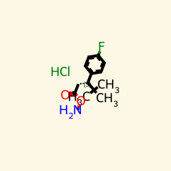 CC(C)(C)[C@H](CC(=O)ON)c1ccc(F)cc1.Cl